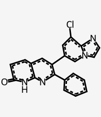 O=c1ccc2cc(-c3cc(Cl)c4nccn4c3)c(-c3ccccc3)nc2[nH]1